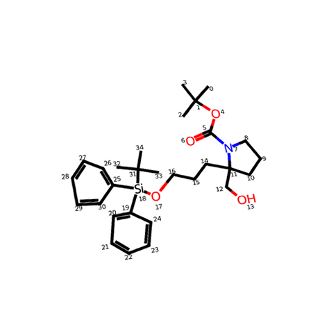 CC(C)(C)OC(=O)N1CCCC1(CO)CCCO[Si](c1ccccc1)(c1ccccc1)C(C)(C)C